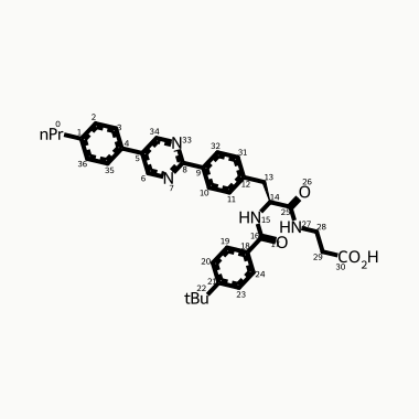 CCCc1ccc(-c2cnc(-c3ccc(C[C@H](NC(=O)c4ccc(C(C)(C)C)cc4)C(=O)NCCC(=O)O)cc3)nc2)cc1